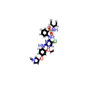 CCOc1cc(O[C@H]2CCN(C)C2)ccc1Nc1ncc(Cl)c(Nc2ccccc2S(=O)(=O)NC(CC)CC)n1